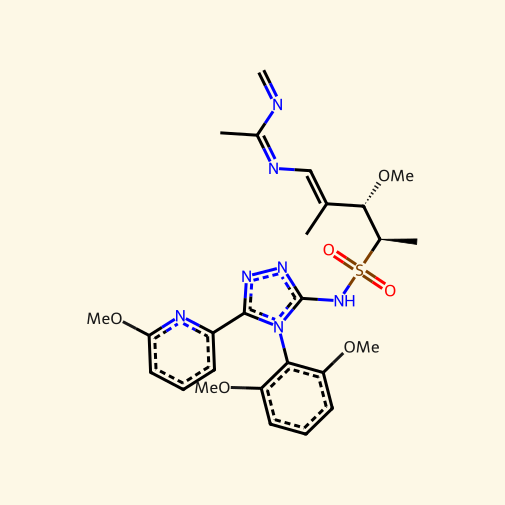 C=N/C(C)=N\C=C(/C)[C@H](OC)[C@@H](C)S(=O)(=O)Nc1nnc(-c2cccc(OC)n2)n1-c1c(OC)cccc1OC